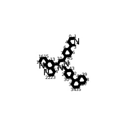 c1cncc(-c2ccc(-c3cc(-c4cc5cccnc5c5ncccc45)nc(-c4ccc(-c5cccc6ccccc56)cc4)n3)cc2)c1